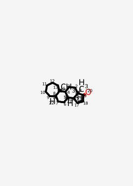 C[C@]12CCC3[C@@H](CC[C@@H]4CCCCC[C@]34C)[C@@H]1C=CC2=O